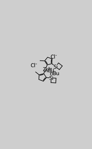 CCCC[Si]1(C2=CCC(C)=[C]2[Zr+2][C]2=C(C)CC=C2[Si]2(CCCC)CCC2)CCC1.[Cl-].[Cl-]